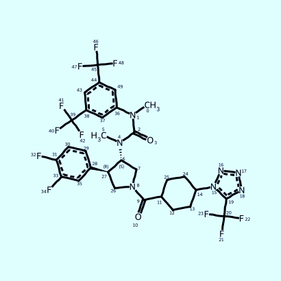 CN(C(=O)N(C)[C@@H]1CN(C(=O)C2CCC(n3nnnc3C(F)(F)F)CC2)C[C@H]1c1ccc(F)c(F)c1)c1cc(C(F)(F)F)cc(C(F)(F)F)c1